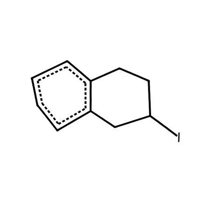 IC1CCc2ccccc2C1